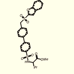 COC(=O)C(NS(=O)(=O)c1ccc(-c2ccc(CS(=O)(=O)c3cc4ccccc4o3)cc2)cc1)C(C)C